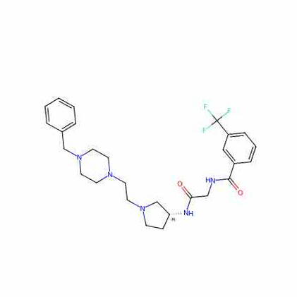 O=C(CNC(=O)c1cccc(C(F)(F)F)c1)N[C@@H]1CCN(CCN2CCN(Cc3ccccc3)CC2)C1